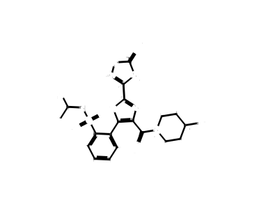 CC(NS(=O)(=O)c1ccccc1-c1sc(-c2noc(=O)[nH]2)nc1C(=O)N1CCC(F)CC1)C(F)(F)F